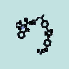 CCc1ccccc1N1CCS/C1=N\C(=O)NCCCC(C)c1ccc(-c2ncn(-c3ccc(OC(F)(F)F)cc3)n2)cc1